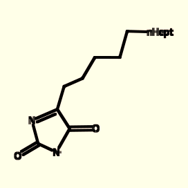 CCCCCCCCCCCCC1=NC(=O)[N]C1=O